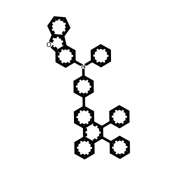 c1ccc(-c2c(-c3ccccc3)c3cc(-c4ccc(N(c5ccccc5)c5ccc6oc7ccccc7c6c5)cc4)ccc3c3ccccc23)cc1